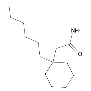 CCCCCCC1(CC([NH])=O)CCCCC1